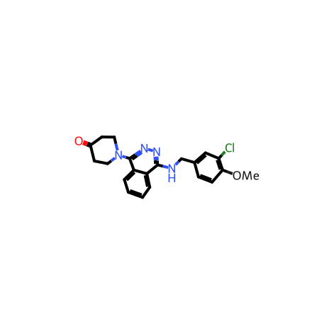 COc1ccc(CNc2nnc(N3CCC(=O)CC3)c3ccccc23)cc1Cl